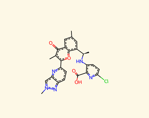 Cc1cc([C@@H](C)Nc2ccc(Cl)nc2C(=O)O)c2oc(-c3ccc4nn(C)cc4n3)c(C)c(=O)c2c1